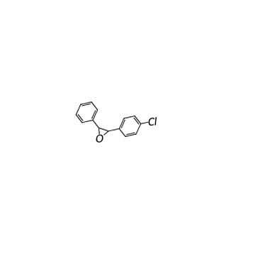 Clc1ccc(C2OC2c2ccccc2)cc1